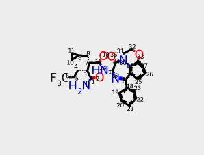 NC(=O)[C@H](CCC(F)(F)F)[C@H](CC1CC1)C(=O)N[C@H]1N=C(c2ccccc2)c2cccc3c2N(CCO3)C1=O